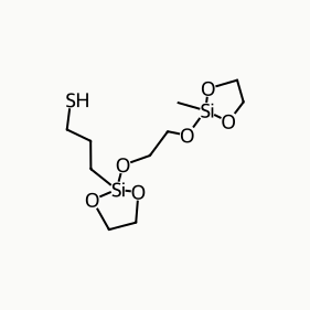 C[Si]1(OCCO[Si]2(CCCS)OCCO2)OCCO1